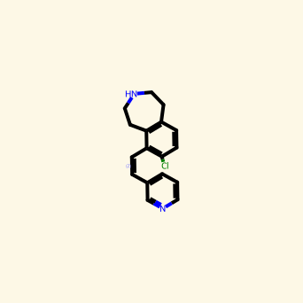 Clc1ccc2c(c1/C=C\c1cccnc1)CCNCC2